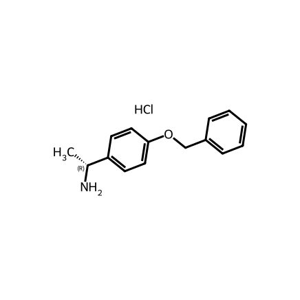 C[C@@H](N)c1ccc(OCc2ccccc2)cc1.Cl